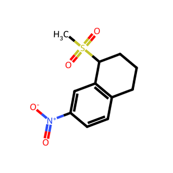 CS(=O)(=O)C1CCCc2ccc([N+](=O)[O-])cc21